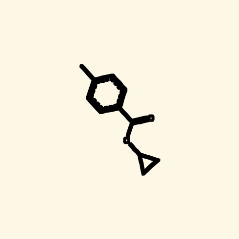 Cc1ccc(C(=O)OC2CC2)cc1